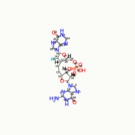 Nc1nc2c(ncn2[C@@H]2OC3CC[C@H]4[C@@H](F)[C@H](n5cnc6c(=O)[nH]cnc65)O[C@@H]4COP(=O)(O)O[C@@H]2[C@@H]3O)c(=O)[nH]1